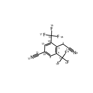 N#CCc1c(C(F)(F)F)cc(C#N)cc1C(F)(F)F